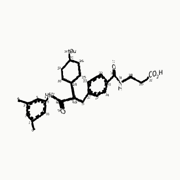 Cc1cc(C)cc(NC(=O)C(Cc2ccc(C(=O)NCCC(=O)O)cc2)C2CCC(C(C)(C)C)CC2)c1